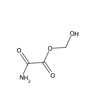 NC(=O)C(=O)OCO